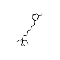 CC[Si](CC)(CCCCCCc1cccc(F)c1)OC